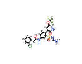 CN(C)C=NS(=O)(=O)c1cc(NC(=O)Cc2ccccc2Cl)ccc1-c1cncc(OC(F)(F)F)c1